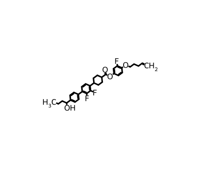 C=CCCCOc1ccc(OC(=O)C2CCC(c3ccc(-c4ccc(C(O)CCC)cc4)c(F)c3F)CC2)cc1F